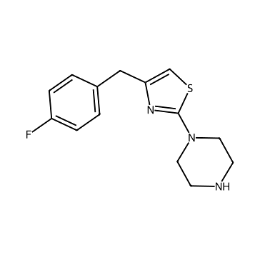 Fc1ccc(Cc2csc(N3CCNCC3)n2)cc1